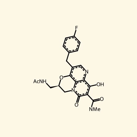 CNC(=O)c1c(O)c2ncc(Cc3ccc(F)cc3)c3c2n(c1=O)C[C@@H](CNC(C)=O)O3